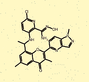 Cc1cc(C(C)Nc2ccc(Cl)nc2C(N)=NO)c2oc(-c3ccc4c(cnn4C)n3)c(C)c(=O)c2c1